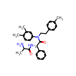 Cc1ccc(CCN(C(=O)[C@@H](NC(=O)C(C)N)c2ccccc2)c2ccc(C)c(C)c2)cc1